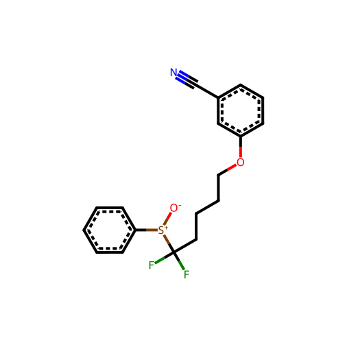 N#Cc1cccc(OCCCCC(F)(F)[S+]([O-])c2ccccc2)c1